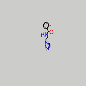 O=C(NCCn1ccnc1)c1[c]cccc1